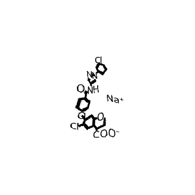 O=C(Nc1cnn(-c2cccc(Cl)c2)c1)c1ccc(Oc2cc3c(cc2Cl)C(C(=O)[O-])CCO3)cc1.[Na+]